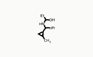 CCCC(NC(O)CC)C1CC1C